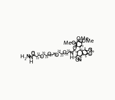 COc1cc([C@@H]2c3cc4c(cc3C3=NOCC3[C@@H]2C(=O)NCCOCCOCCOCCOCCC(=O)NN)OCO4)cc(OC)c1OC